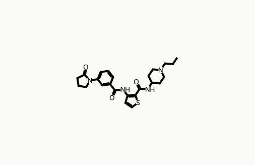 CCCN1CCC(NC(=O)c2sccc2NC(=O)c2cccc(N3CCCC3=O)c2)CC1